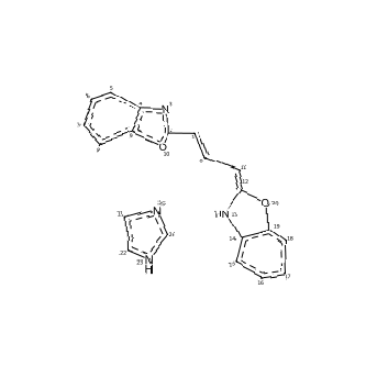 C(=Cc1nc2ccccc2o1)C=C1Nc2ccccc2O1.c1c[nH]cn1